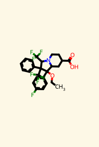 CCOC1(c2ccc(F)cc2)C2CC(C(=O)O)CCN2C(C(F)(F)F)C1(c1ccccc1)C(F)(F)F